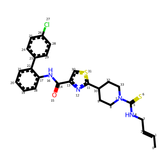 C/C=C/CNC(=S)N1CCC(c2nc(C(=O)Nc3ccccc3-c3ccc(Cl)cc3)cs2)CC1